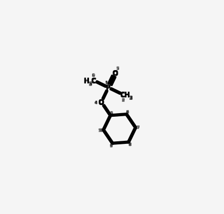 CP(C)(=O)OC1CCCCC1